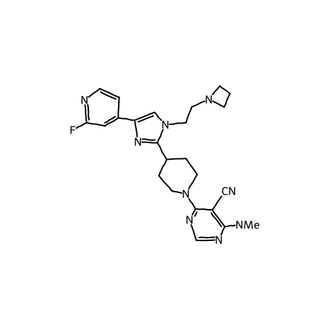 CNc1ncnc(N2CCC(c3nc(-c4ccnc(F)c4)cn3CCN3CCC3)CC2)c1C#N